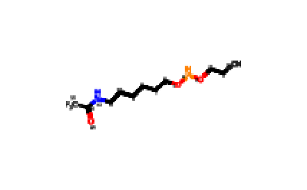 N#CCCOPOCCCCCCNC(=O)C(F)(F)F